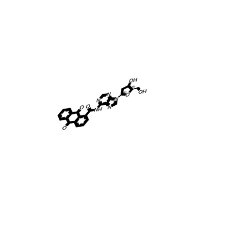 O=C(Nc1ncnc2c1ncn2[C@H]1CC(O)[C@@H](CO)O1)c1cccc2c1C(=O)c1ccccc1C2=O